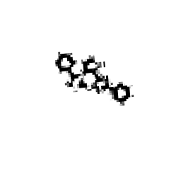 O=c1onc(-c2ccccc2)n1-c1cc[nH]c1-c1nc(-c2ccccc2)no1